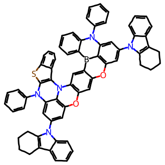 c1ccc(N2c3ccccc3B3c4cc5c(cc4Oc4cc(-n6c7c(c8ccccc86)CCCC7)cc2c43)Oc2cc(-n3c4c(c6ccccc63)CCCC4)cc3c2N5c2c(sc4ccccc24)N3c2ccccc2)cc1